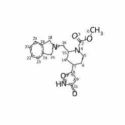 COC(=O)N1CCC(c2cc(=O)[nH]o2)CC1CN1Cc2ccccc2C1